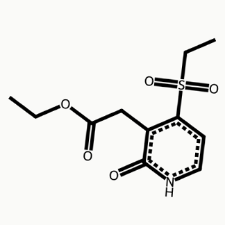 CCOC(=O)Cc1c(S(=O)(=O)CC)cc[nH]c1=O